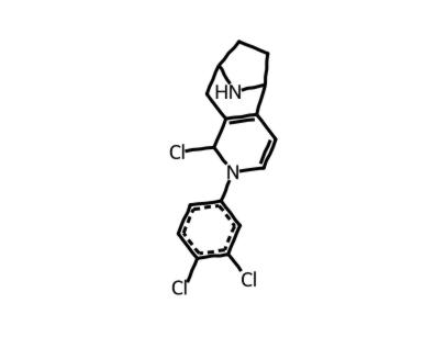 Clc1ccc(N2C=CC3=C(CC4CCC3N4)C2Cl)cc1Cl